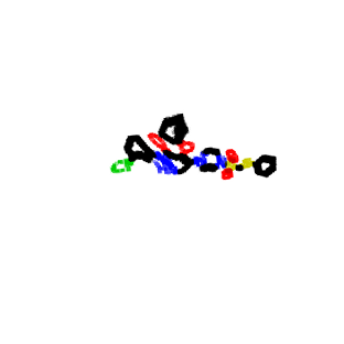 O=C1C(OC2CCCC2)=C(N2CCN(S(=O)(=O)CSc3ccccc3)CC2)CNN1c1cccc(Cl)c1